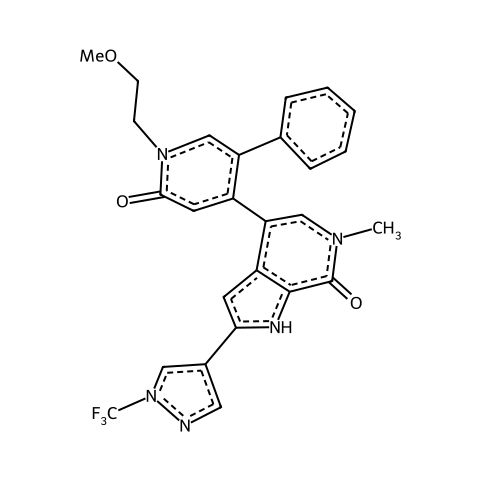 COCCn1cc(-c2ccccc2)c(-c2cn(C)c(=O)c3[nH]c(-c4cnn(C(F)(F)F)c4)cc23)cc1=O